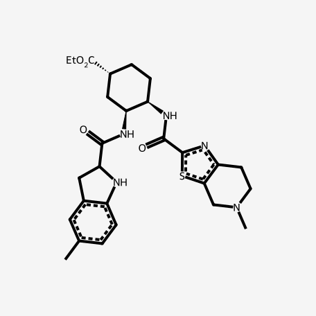 CCOC(=O)[C@@H]1CC[C@@H](NC(=O)c2nc3c(s2)CN(C)CC3)[C@@H](NC(=O)C2Cc3cc(C)ccc3N2)C1